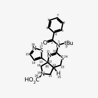 CC(C)(C)N(C(=O)c1ccccc1)C1=N[C@@]2(c3ccns3)CN(C(=O)O)C[C@H]2CS1